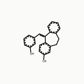 N#Cc1ccc2c(c1)CCc1ccccc1/C2=C/c1cccc(O)c1